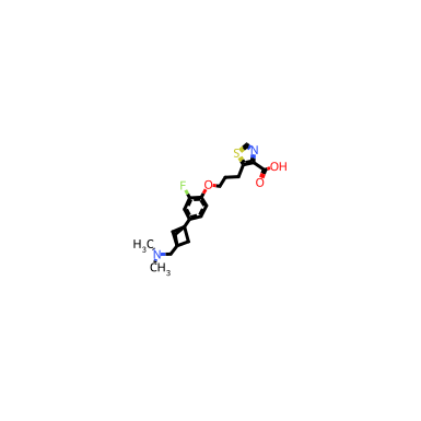 CN(C)CC12CC(c3ccc(OCCCc4scnc4C(=O)O)c(F)c3)(C1)C2